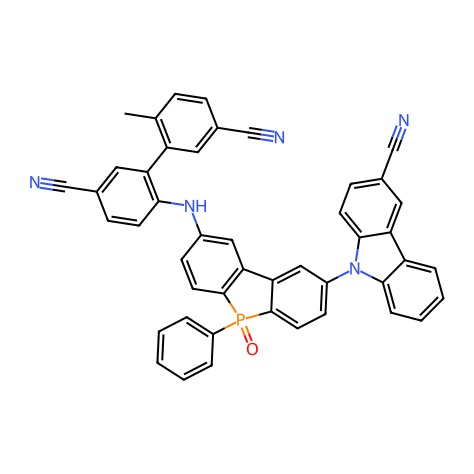 Cc1ccc(C#N)cc1-c1cc(C#N)ccc1Nc1ccc2c(c1)-c1cc(-n3c4ccccc4c4cc(C#N)ccc43)ccc1P2(=O)c1ccccc1